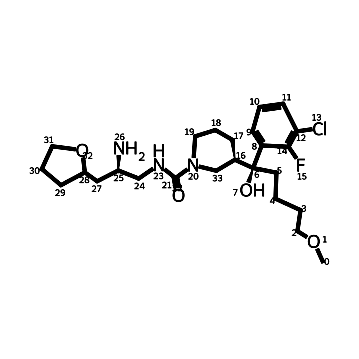 COCCCC[C@@](O)(c1cccc(Cl)c1F)[C@@H]1CCCN(C(=O)NC[C@H](N)CC2CCCO2)C1